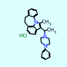 Cc1c(C(C)N2CCN(c3ccccc3)CC2)c2cccc3c2n1-c1ccccc1CC3.Cl